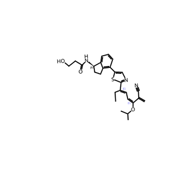 C=C(C#N)/C(=C\C=C(/CC)c1ncc(-c2cccc3c2CC[C@H]3NC(=O)CCO)s1)OC(C)C